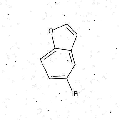 CC(C)c1ccc2occc2c1